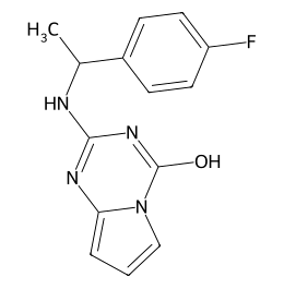 CC(Nc1nc(O)n2cccc2n1)c1ccc(F)cc1